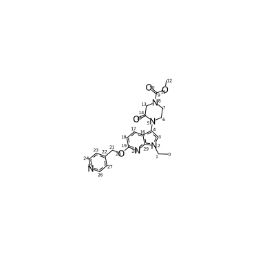 CCn1cc(N2CCN(C(=O)OC)CC2=O)c2ccc(OCc3ccncc3)nc21